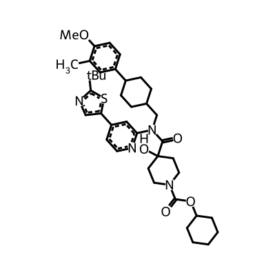 COc1ccc(C2CCC(CN(C(=O)C3(O)CCN(C(=O)OC4CCCCC4)CC3)c3cc(-c4cnc(C(C)(C)C)s4)ccn3)CC2)cc1C